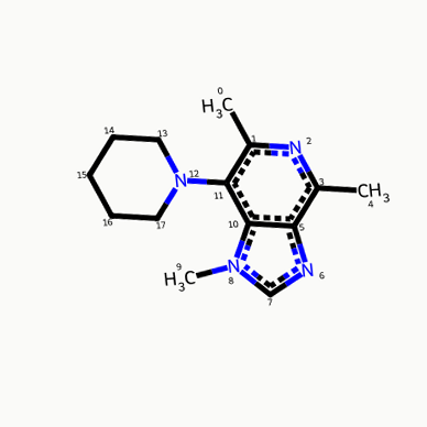 Cc1nc(C)c2ncn(C)c2c1N1CCCCC1